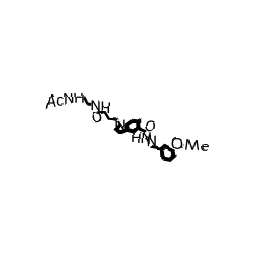 COc1cccc(C=NNC(=O)c2ccc3c(ccn3CCCC(=O)NCCNC(C)=O)c2)c1